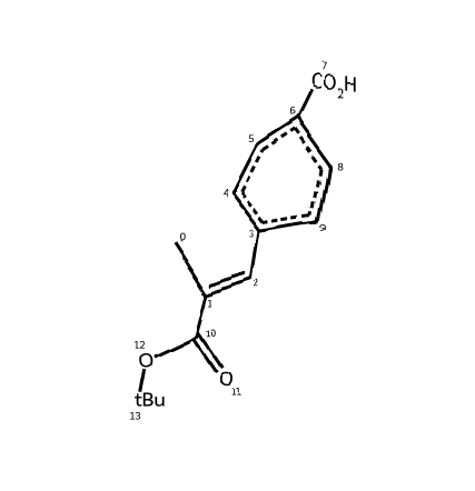 C/C(=C\c1ccc(C(=O)O)cc1)C(=O)OC(C)(C)C